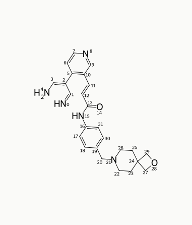 N=C/C(=C\N)c1ccncc1/C=C/C(=O)Nc1ccc(CN2CCC3(CC2)COC3)cc1